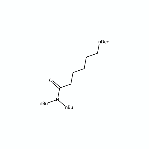 CCCCCCCCCCCCCCCC(=O)N(CCCC)CCCC